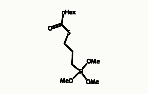 CCCCCCC(=O)SCCC[Si](OC)(OC)OC